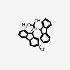 C[C](C)=[Zr+2]([CH]1c2ccccc2-c2ccccc21)[CH]1c2ccccc2-c2ccccc21.[Cl-].[Cl-]